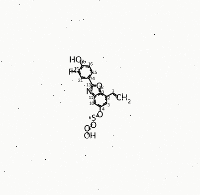 C=Cc1cc(OSOOO)cc2nc(-c3ccc(O)c(F)c3)oc12